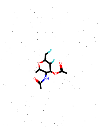 CC(=O)NC1C(C)OC(CF)C(F)C1OC(C)=O